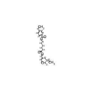 C=Cc1ccc(C(=O)OCCCCCC(=O)OCC(CC)CCCC)cc1